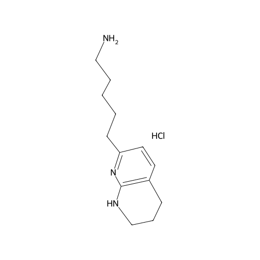 Cl.NCCCCCc1ccc2c(n1)NCCC2